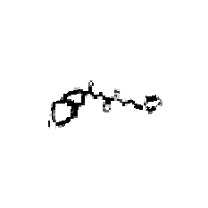 O=C(CCC(=O)c1ccc2c(c1)CCNCC2)NCCCn1ccnc1